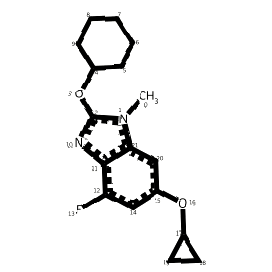 Cn1c(OC2CCCCC2)nc2c(F)cc(OC3CC3)cc21